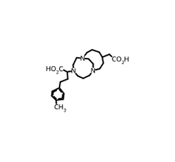 Cc1ccc(CCC(C(=O)O)N2CCCN3CCC(CC(=O)O)CCCN(CC3)CC2)cc1